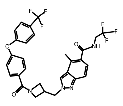 Cc1c(C(=O)NCC(F)(F)F)ccc2nn(CC3CN(C(=O)c4ccc(Oc5ccc(C(F)(F)F)cc5)cc4)C3)cc12